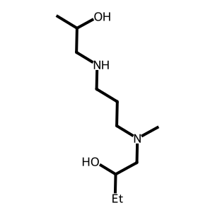 CCC(O)CN(C)CCCNCC(C)O